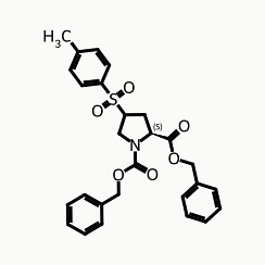 Cc1ccc(S(=O)(=O)C2C[C@@H](C(=O)OCc3ccccc3)N(C(=O)OCc3ccccc3)C2)cc1